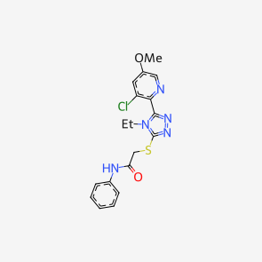 CCn1c(SCC(=O)Nc2ccccc2)nnc1-c1ncc(OC)cc1Cl